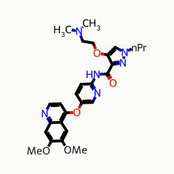 CCCn1cc(OCCN(C)C)c(C(=O)Nc2ccc(Oc3ccnc4cc(OC)c(OC)cc34)cn2)n1